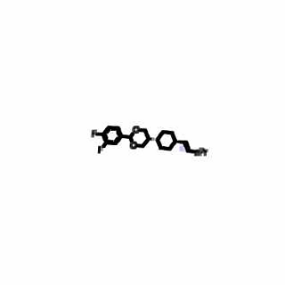 CCC/C=C/[C@H]1CC[C@H](C2COC(c3ccc(F)c(F)c3)OC2)CC1